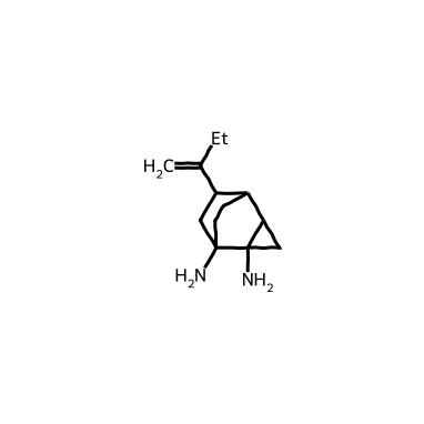 C=C(CC)C1CC2(N)CCC1C1CC12N